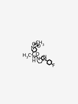 C[C@H](NC(=O)N1CCCc2c1cnn2-c1ccc(F)cc1)c1ccc(S(C)(=O)=O)nc1